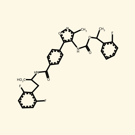 Cc1noc(-c2ccc(C(=O)NC(Cc3c(F)cccc3F)C(=O)O)cc2)c1NC(=O)OC(C)c1ccccc1F